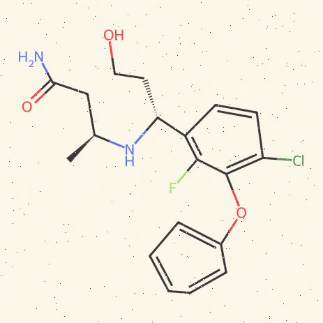 C[C@@H](CC(N)=O)N[C@H](CCO)c1ccc(Cl)c(Oc2ccccc2)c1F